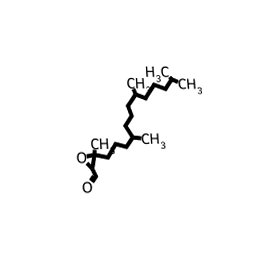 CC(C)CCCC(C)CCCC(C)CCCC1(C)OC1C=O